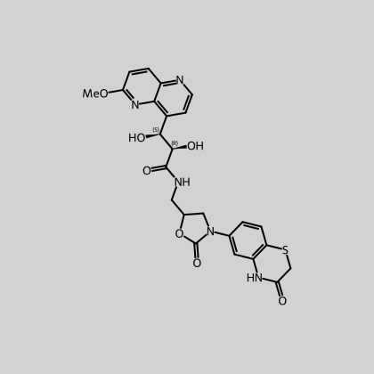 COc1ccc2nccc([C@H](O)[C@@H](O)C(=O)NCC3CN(c4ccc5c(c4)NC(=O)CS5)C(=O)O3)c2n1